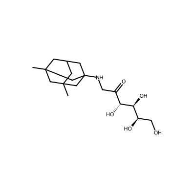 CC12CC3CC(C)(C1)CC(NCC(=O)[C@@H](O)[C@@H](O)[C@H](O)CO)(C3)C2